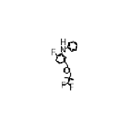 CC(C)(COCc1ccc(F)c(Nc2ccccc2)c1)C(F)F